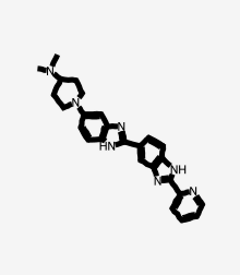 CN(C)C1CCN(c2ccc3[nH]c(-c4ccc5[nH]c(-c6ccccn6)nc5c4)nc3c2)CC1